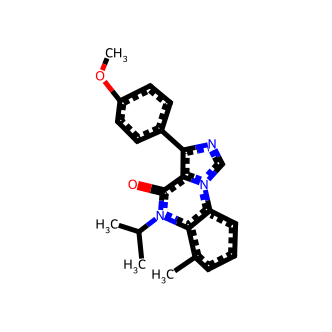 COc1ccc(-c2ncn3c2c(=O)n(C(C)C)c2c(C)cccc23)cc1